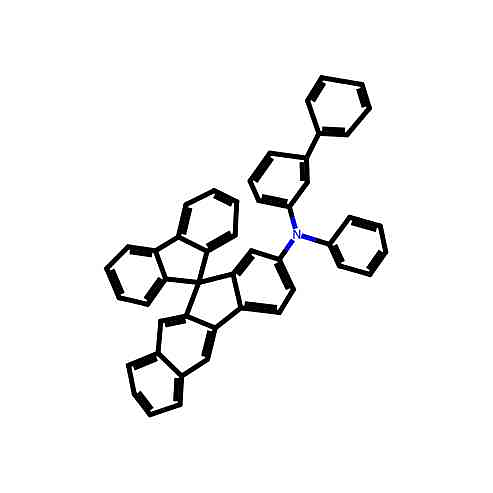 c1ccc(-c2cccc(N(c3ccccc3)c3ccc4c(c3)C3(c5ccccc5-c5ccccc53)c3cc5ccccc5cc3-4)c2)cc1